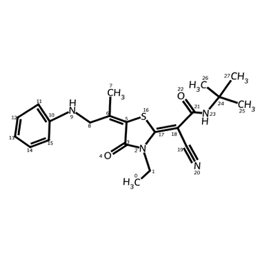 CCn1c(=O)/c(=C(/C)CNc2ccccc2)s/c1=C(/C#N)C(=O)NC(C)(C)C